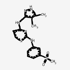 Cc1[nH]nc(Nc2ccnc(Nc3cccc(S(C)(=O)=O)c3)n2)c1C